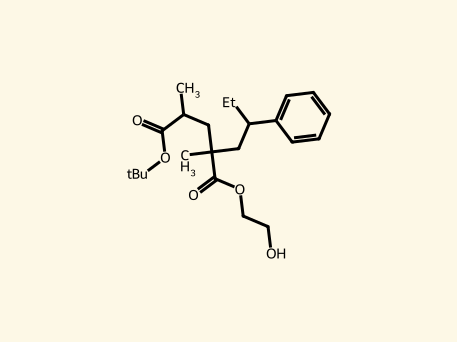 CCC(CC(C)(CC(C)C(=O)OC(C)(C)C)C(=O)OCCO)c1ccccc1